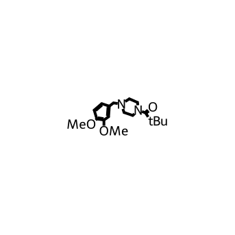 COc1ccc(CN2CCN(C(=O)C(C)(C)C)CC2)cc1OC